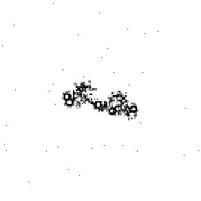 CN[C@@H](C)C(=O)NC(C(=O)N1Cc2cc(NC(=O)c3ccc(CO[C@H]4C[C@@H](C(=O)N[C@@H]5CCCc6ccccc65)N(C(=O)[C@@H](NC(=O)[C@H](C)NC)C(C)(C)C)C4)cc3)ccc2C[C@H]1C(=O)N[C@H](C)c1ccccc1F)C(C)(C)C